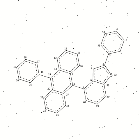 c1ccc(-c2cc3c(-c4c5ccccc5c(-c5ccccc5)c5ccccc45)cccc3s2)cc1